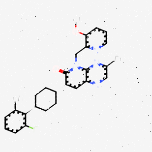 CCc1cnc2cc([C@H]3CC[C@H](c4c(C)cccc4F)CC3)c(=O)n(Cc3ncccc3OC(F)(F)F)c2n1